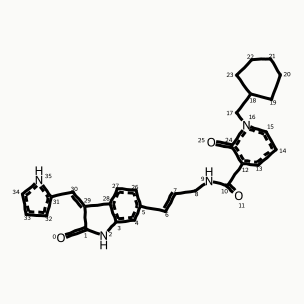 O=C1Nc2cc(/C=C/CNC(=O)c3cccn(CC4CCCCC4)c3=O)ccc2C1=Cc1ccc[nH]1